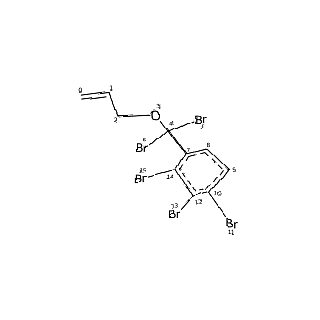 C=CCOC(Br)(Br)c1ccc(Br)c(Br)c1Br